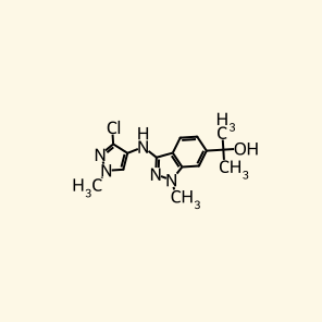 Cn1cc(Nc2nn(C)c3cc(C(C)(C)O)ccc23)c(Cl)n1